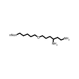 CCCCCCCCCCCCCCOCCCC(N)CCN